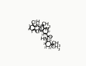 Cn1c(Nc2c(Cl)cccc2Cl)nc2cc(C(=O)NC3CCCC(C)(C)C3)cnc21